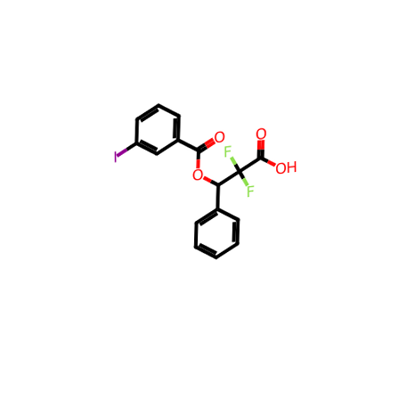 O=C(OC(c1ccccc1)C(F)(F)C(=O)O)c1cccc(I)c1